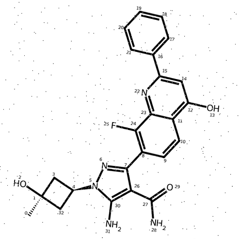 C[C@]1(O)C[C@@H](n2nc(-c3ccc4c(O)cc(-c5ccccc5)nc4c3F)c(C(N)=O)c2N)C1